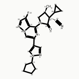 C[C@@H]1CN(c2nc(-c3cnn(C4CCCC4)c3)cn3ncc(F)c23)C(=O)[C@]1(C#N)C1CC1